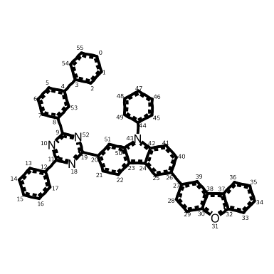 c1ccc(-c2cccc(-c3nc(-c4ccccc4)nc(-c4ccc5c6cc(-c7ccc8oc9ccccc9c8c7)ccc6n(-c6ccccc6)c5c4)n3)c2)cc1